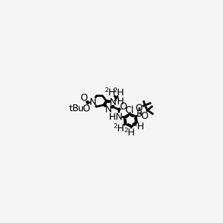 [2H]c1c([2H])c(NC(=O)c2nc3c(n2C([2H])([2H])[2H])CCN(C(=O)OC(C)(C)C)C3)c(Cl)c(B2OC(C)(C)C(C)(C)O2)c1[2H]